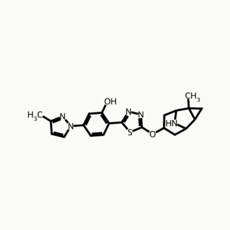 Cc1ccn(-c2ccc(-c3nnc(OC4CC5NC(C4)C4(C)CC54)s3)c(O)c2)n1